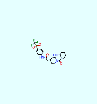 NC1CCCCC1C(=O)N1CCC(CC(=O)Nc2ccc(S(=O)(=O)C(F)(F)F)cc2)CC1